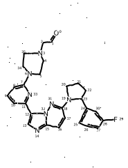 O=CCN1CCN(c2cccc(-c3cnc4ccc(N5CCCC5c5cccc(F)c5)nn34)n2)CC1